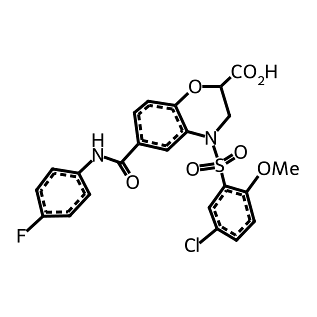 COc1ccc(Cl)cc1S(=O)(=O)N1CC(C(=O)O)Oc2ccc(C(=O)Nc3ccc(F)cc3)cc21